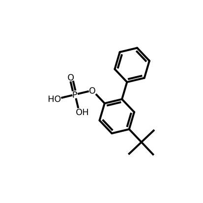 CC(C)(C)c1ccc(OP(=O)(O)O)c(-c2ccccc2)c1